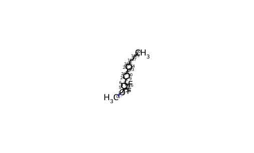 C/C=C/Oc1ccc(C2CCC(C3CCC(CCCCC)CC3)CC2)c(F)c1F